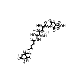 O=C(CCCC[C@@H]1SC[C@@H]2NC(=O)N[C@@H]21)NC(O)C(O)C(O)C(O)C(O)C(=O)ON1C(=O)CC(S(=O)(=O)O)C1=O